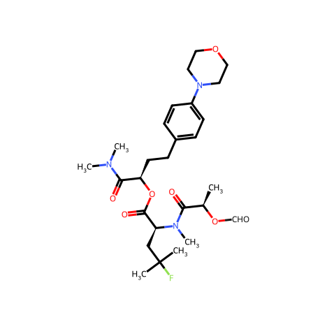 C[C@@H](OC=O)C(=O)N(C)[C@@H](CC(C)(C)F)C(=O)O[C@H](CCc1ccc(N2CCOCC2)cc1)C(=O)N(C)C